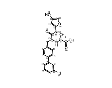 C[C@H](N[C@@H](Cc1ccc(-c2cccc(Cl)c2)cc1)C(=O)Nc1cc(O)no1)C(=O)O